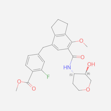 COC(=O)c1ccc(Cc2cc(C(=O)N[C@H]3CCOC[C@@H]3O)c(OC)c3c2CCC3)cc1F